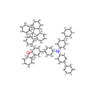 c1ccc(-c2ccc(N(c3ccc(-c4ccccc4)cc3)c3ccc(-c4cc(-c5ccc6c(c5)C5(c7ccccc7-c7ccccc75)c5ccccc5-6)c5oc6ccccc6c5c4)cc3)cc2)cc1